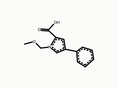 COCn1cc(-c2ccccc2)cc1C(=O)O